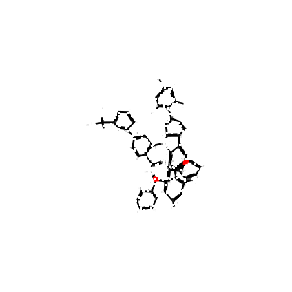 Cc1cc(C)c(-c2ccc3c4ccc(-c5c(C)cc(C)cc5C)cc4n(-c4cc(-c5cccc(C(F)(F)F)c5)ccc4-c4nc(-c5ccccc5)nc(-c5ccccc5)n4)c3c2)c(C)c1